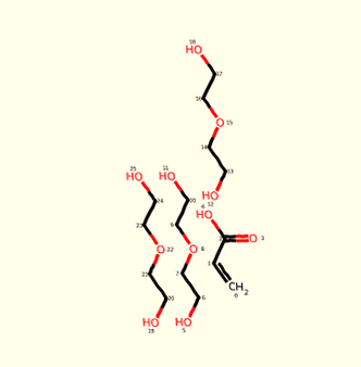 C=CC(=O)O.OCCOCCO.OCCOCCO.OCCOCCO